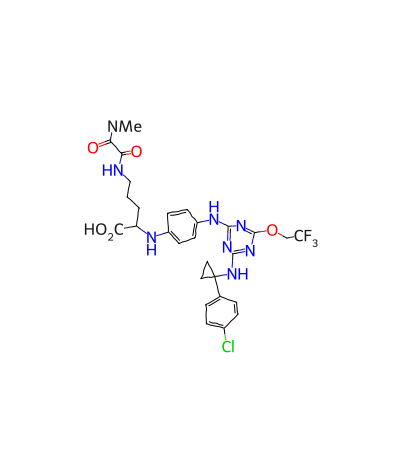 CNC(=O)C(=O)NCCCC(Nc1ccc(Nc2nc(NC3(c4ccc(Cl)cc4)CC3)nc(OCC(F)(F)F)n2)cc1)C(=O)O